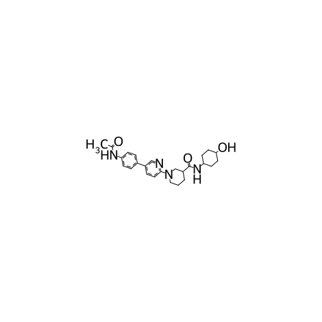 CC(=O)Nc1ccc(-c2ccc(N3CCCC(C(=O)NC4CCC(O)CC4)C3)nc2)cc1